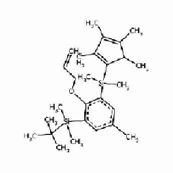 C=CCOc1c([Si](C)(C)C2=C(C)C(C)=C(C)C2C)cc(C)cc1[Si](C)(C)C(C)(C)C